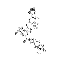 CCn1c(=O)oc2ccc(CNC(=O)c3cc(C(=O)N[C@H]4CCc5c4ccc(C(=O)OC(C)(C)C)c5C)n4ncc(F)c4n3)cc21